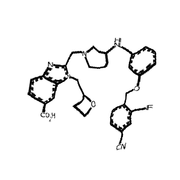 N#Cc1ccc(COc2cccc(NC3CCN(Cc4nc5ccc(C(=O)O)cc5n4CC4CCO4)C3)c2)c(F)c1